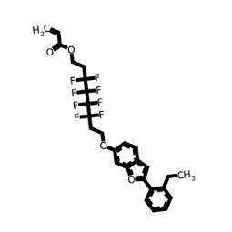 C=CC(=O)OCCC(F)(F)C(F)(F)C(F)(F)C(F)(F)CCOc1ccc2cc(-c3ccccc3CC)oc2c1